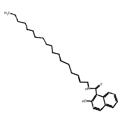 CCCCCCCCCCCCCCCCCCNC(=O)c1c(O)ccc2ccccc12